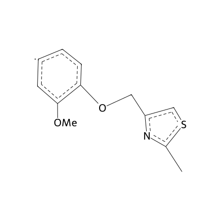 COc1c[c]ccc1OCc1csc(C)n1